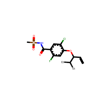 C=CC(Oc1cc(F)c(C(=O)NS(C)(=O)=O)cc1Cl)C(CC)CC